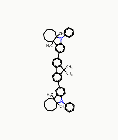 CC1(C)c2cc(-c3ccc4c(c3)C3(C)CCCCCCC3(C)N4c3ccccc3)ccc2-c2ccc(-c3ccc4c(c3)C3(C)CCCCCCC3(C)N4c3ccccc3)cc21